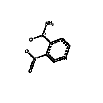 N[S+]([O-])c1ccncc1[N+](=O)[O-]